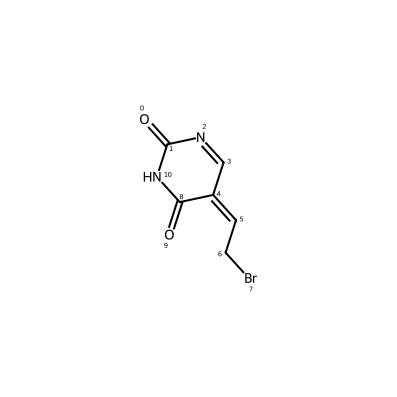 O=C1N=CC(=CCBr)C(=O)N1